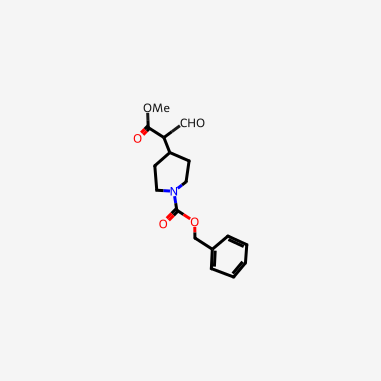 COC(=O)C(C=O)C1CCN(C(=O)OCc2ccccc2)CC1